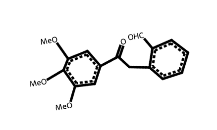 COc1cc(C(=O)Cc2ccccc2C=O)cc(OC)c1OC